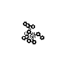 c1ccc(-c2cccc(-c3nc(-c4cc(-n5c6ccccc6c6cc7ccccc7cc65)cc5oc6c7ccccc7ccc6c45)nc(-n4c5ccccc5c5ccccc54)n3)c2)cc1